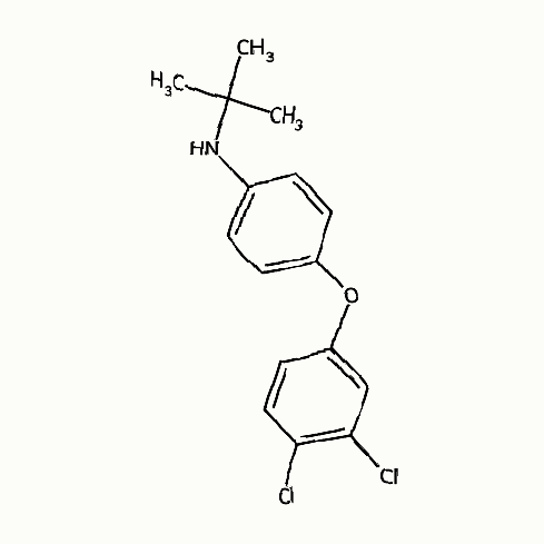 CC(C)(C)Nc1ccc(Oc2ccc(Cl)c(Cl)c2)cc1